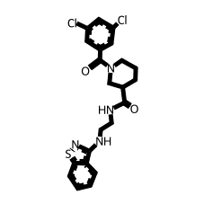 O=C(NCCNc1nsc2ccccc12)C1CCCN(C(=O)c2cc(Cl)cc(Cl)c2)C1